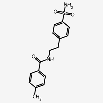 Cc1ccc(C(=O)NCCc2ccc(S(N)(=O)=O)cc2)cc1